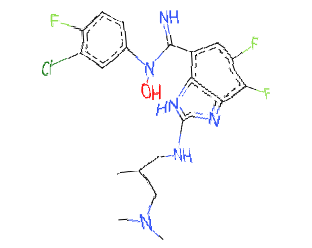 CC(CNc1nc2c(F)c(F)cc(C(=N)N(O)c3ccc(F)c(Cl)c3)c2[nH]1)CN(C)C